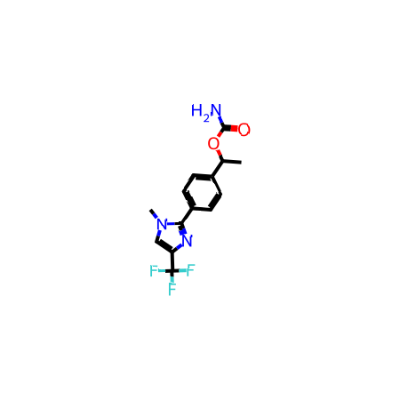 CC(OC(N)=O)c1ccc(-c2nc(C(F)(F)F)cn2C)cc1